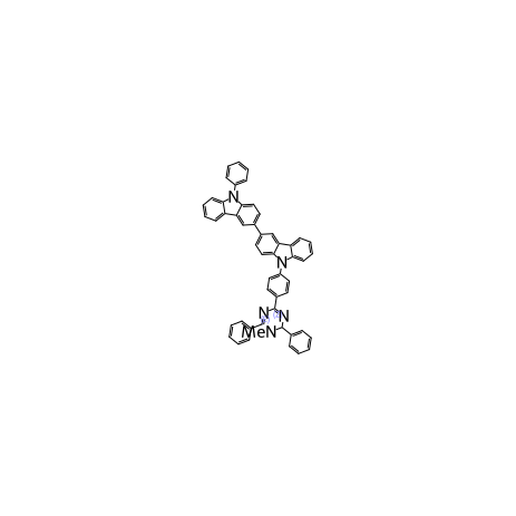 CNC(/N=C(\N=C\c1ccccc1)c1ccc(-n2c3ccccc3c3cc(-c4ccc5c(c4)c4ccccc4n5-c4ccccc4)ccc32)cc1)c1ccccc1